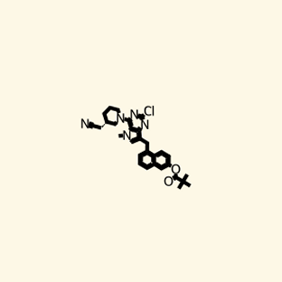 Cn1cc(Cc2cccc3cc(OC(=O)C(C)(C)C)ccc23)c2nc(Cl)nc(N3CCC[C@@H](CC#N)C3)c21